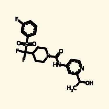 C[C@H](O)c1cc(NC(=O)N2CCC(C(F)(F)S(=O)(=O)c3cccc(F)c3)CC2)ccn1